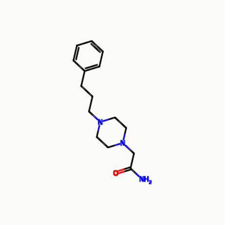 NC(=O)CN1CCN(CCCc2ccccc2)CC1